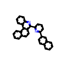 c1cc(-c2ccc3ccccc3c2)nc(-c2nc3ccccc3c3c2ccc2ccccc23)c1